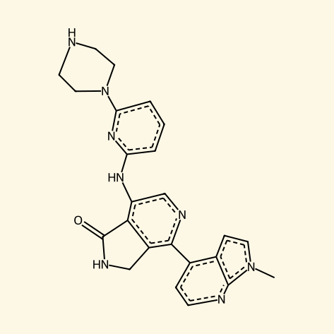 Cn1ccc2c(-c3ncc(Nc4cccc(N5CCNCC5)n4)c4c3CNC4=O)ccnc21